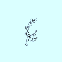 CC(C)(C)OC(=O)N1CCC(n2cc(-c3cnc4c(c3)c(N3C[C@@H](F)C[C@@H]3c3cc(F)ccc3F)nn4COCC[Si](C)(C)C)cn2)CC1